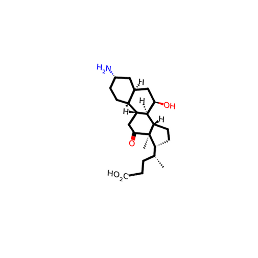 C[C@H](CCC(=O)O)[C@H]1CC[C@H]2[C@@H]3[C@H](O)C[C@@H]4C[C@@H](N)CC[C@]4(C)[C@H]3CC(=O)[C@]12C